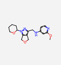 COc1cc(NCc2nn(C3CCCCO3)c3c2COC3)ccn1